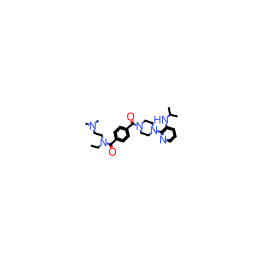 CCN(CCN(C)C)C(=O)c1ccc(C(=O)N2CCN(c3ncccc3NC(C)C)CC2)cc1